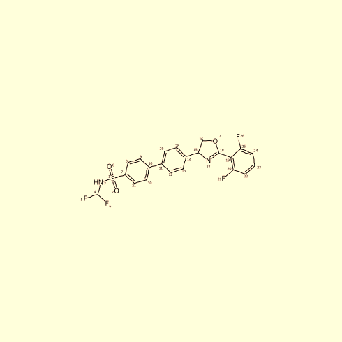 O=S(=O)(NC(F)F)c1ccc(-c2ccc(C3COC(c4c(F)cccc4F)=N3)cc2)cc1